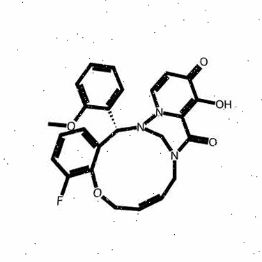 COc1ccccc1[C@H]1c2cccc(F)c2OC/C=C\CN2CN1n1ccc(=O)c(O)c1C2=O